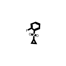 O=S(=O)(c1ccccc1F)C1CC1